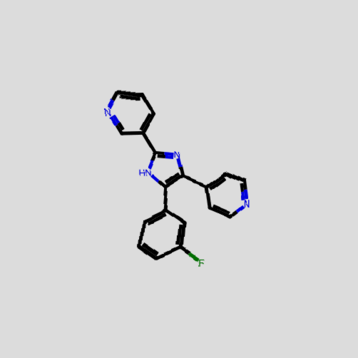 Fc1cccc(-c2[nH]c(-c3cccnc3)nc2-c2ccncc2)c1